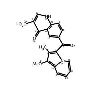 COc1c(C)c(C(=O)c2ccc3[nH]cc(C(=O)O)c(=O)c3c2)n2ccccc12